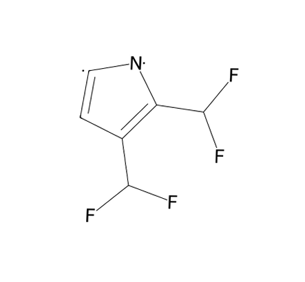 FC(F)C1=C(C(F)F)[N][C]=C1